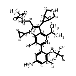 CC(C)c1nc(-c2cc(N)cc(F)c2OC(F)(F)F)c(F)c2c1c(C1C3CNCC31)c(CNS(C)(=O)=O)n2C1CC1